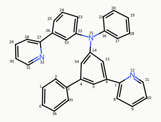 c1ccc(-c2cc(-c3ccccn3)cc(N(c3ccccc3)c3cccc(-c4ccccn4)c3)c2)cc1